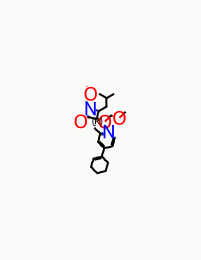 COCO[C@@]1(Cc2cc(C3=CCCCC3)ccn2)C(=O)N(COC)C1CC(C)C